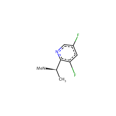 CN[C@H](C)c1ncc(F)cc1F